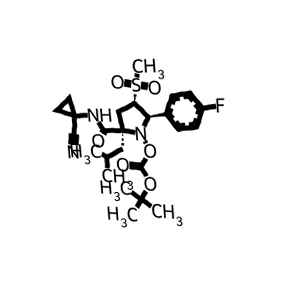 CC(C)C[C@]1(C(=O)NC2(C#N)CC2)C[C@H](S(C)(=O)=O)[C@@H](c2ccc(F)cc2)N1OC(=O)OC(C)(C)C